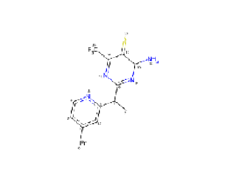 CC(C)c1ccnc(C(C)C2=NC(N)C(=S)C(C(F)(F)F)=N2)c1